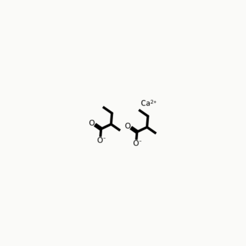 CCC(C)C(=O)[O-].CCC(C)C(=O)[O-].[Ca+2]